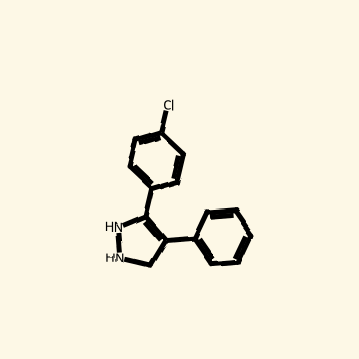 Clc1ccc(C2=C(c3ccccc3)CNN2)cc1